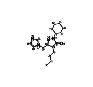 CCCCC1C(=O)N(C2CCCCC2)N=C1Cn1ccnc1